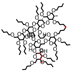 CCCCOCC1O[C@H](OCC2O[C@H](OCC3O[C@@H](O[C@@H]4C(COCCCC)O[C@@H](O[C@@H]5C(COCCCC)O[C@@H](OCCCC)[C@@H](C)C5OCCCC)[C@@H](C)C4OCCCC)[C@H](OCCCC)C(O[C@@H]4OC(COCCCC)[C@H](OCCCC)C(OCCCC)[C@@H]4O)[C@@H]3O)[C@H](O)C(O[C@@H]3OC(COCCCC)[C@H](OCCCC)C(OCCCC)[C@@H]3O)[C@@H]2OCCCC)[C@H](O)C(OCCCC)[C@@H]1OCCCC